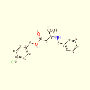 O=C(C[C@H](NCc1ccccc1)C(=O)O)OCc1ccc(Cl)cc1